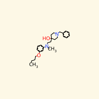 CCCCOc1cccc(N(C)CCC2(O)CCN(Cc3ccccc3)CC2)c1